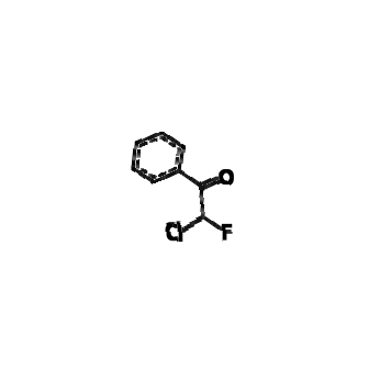 O=C(c1ccccc1)C(F)Cl